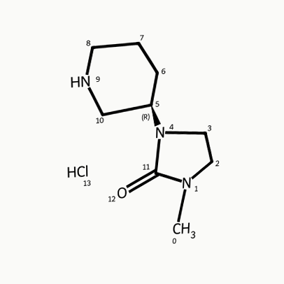 CN1CCN([C@@H]2CCCNC2)C1=O.Cl